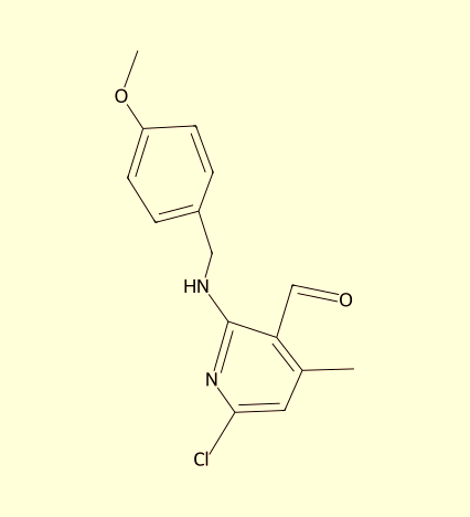 COc1ccc(CNc2nc(Cl)cc(C)c2C=O)cc1